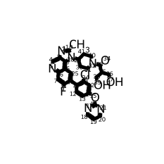 Cc1nc2cnc3cc(F)c(-c4ccc(Oc5ncccn5)cc4Cl)cc3c2n1C1CCN(C(=O)C(CO)CO)CC1